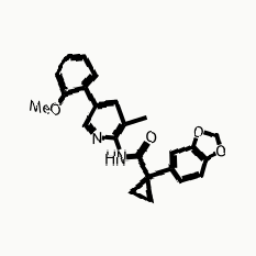 COc1ccccc1-c1cnc(NC(=O)C2(c3ccc4c(c3)OCO4)CC2)c(C)c1